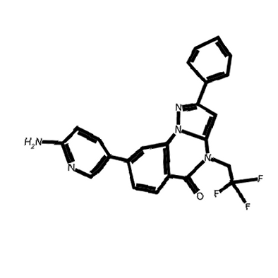 Nc1ccc(-c2ccc3c(=O)n(CC(F)(F)F)c4cc(-c5ccccc5)nn4c3c2)cn1